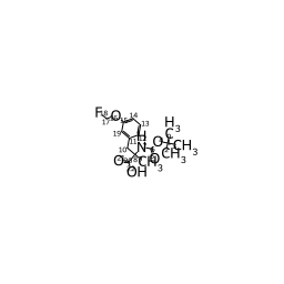 CC(C)(C)OC(=O)NC(C)(Cc1cccc(OCF)c1)C(=O)O